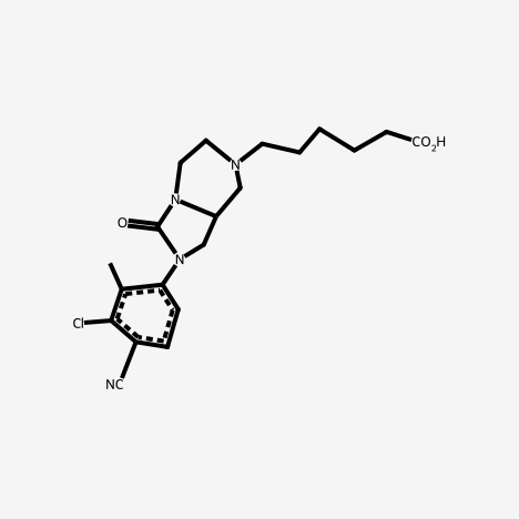 Cc1c(N2CC3CN(CCCCCC(=O)O)CCN3C2=O)ccc(C#N)c1Cl